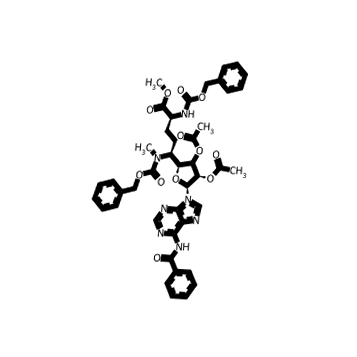 COC(=O)[C@H](CC[C@@H]([C@H]1O[C@@H](n2cnc3c(NC(=O)c4ccccc4)ncnc32)[C@@H](OC(C)=O)C1OC(C)=O)N(C)C(=O)OCc1ccccc1)NC(=O)OCc1ccccc1